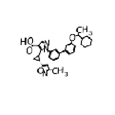 Cc1cc([C@@H]2CC2c2c(C(=O)O)cnn2-c2cccc(-c3cccc(O[C@@H](C)C4CCCCC4)c3)c2)on1